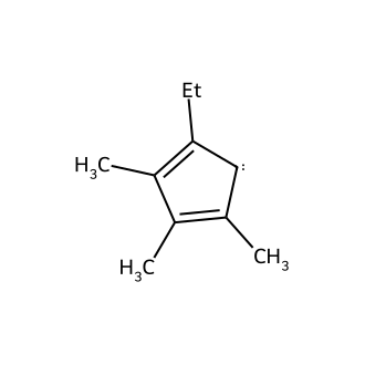 CCC1=C(C)C(C)=C(C)[C]1